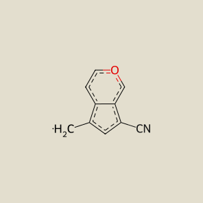 [CH2]c1cc(C#N)c2coccc1-2